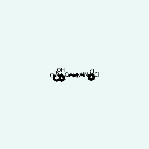 O=C1CCc2ccc(OCCCCNCCNc3cccc(Cl)c3Cl)cc2N1CO